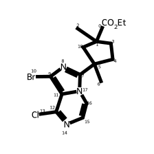 CCOC(=O)C1(C)CCC(C)(c2nc(Br)c3c(Cl)nccn23)C1